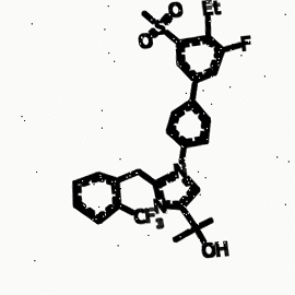 CCc1c(F)cc(-c2ccc(-n3cc(C(C)(C)O)nc3Cc3ccccc3C(F)(F)F)cc2)cc1S(C)(=O)=O